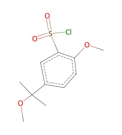 COc1ccc(C(C)(C)OC)cc1S(=O)(=O)Cl